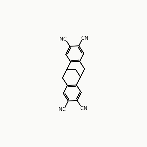 N#Cc1cc2c(cc1C#N)C1Cc3cc(C#N)c(C#N)cc3C(C2)C1